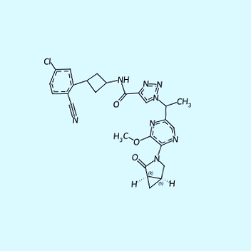 COc1nc(C(C)n2cc(C(=O)NC3CC(c4cc(Cl)ccc4C#N)C3)nn2)cnc1N1C[C@H]2C[C@H]2C1=O